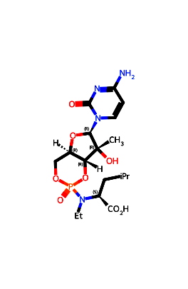 CCN([C@@H](CC(C)C)C(=O)O)P1(=O)OC[C@H]2O[C@@H](n3ccc(N)nc3=O)[C@](C)(O)[C@@H]2O1